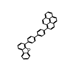 c1cc2ccc3ccc(-c4ccc(-c5ccc(-c6cccc7c6oc6ccccc67)cc5)cc4)c4ccc(c1)c2c34